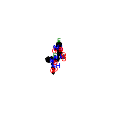 CCOC(=O)CNCC1OC2=CC=C(c3cc4c(C(=O)NC)c(-c5ccc(F)cc5)oc4cc3N(C)S(C)(=O)=O)N(F)C2=C2Cc3ccccc3N21